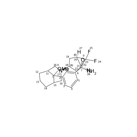 COC1(c2cccc(C(N)=O)c2)C2CCCC1CN([C@H]1C[C@@H]3[C@H](C1)C3(F)F)C2